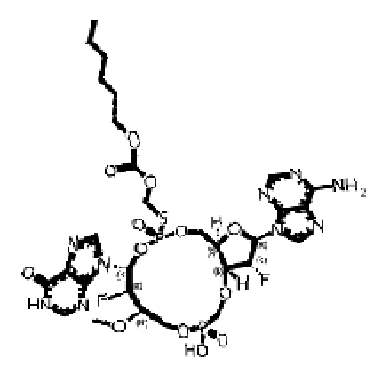 CCCCCCOC(=O)OCSP1(=O)OC[C@H]2O[C@@H](n3cnc4c(N)ncnc43)[C@H](F)[C@@H]2OCP(=O)(O)OC[C@@H](OC)[C@@H](F)[C@H](n2cnc3c(=O)[nH]cnc32)O1